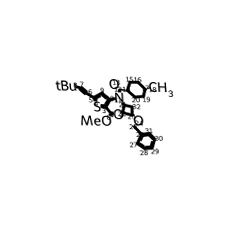 COC(=O)c1sc(C#CC(C)(C)C)cc1N(C(=O)[C@H]1CC[C@H](C)CC1)C1CC(OCc2ccccc2)C1